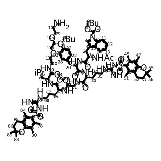 CC(=O)N[C@@H](Cc1cn(C(=O)OC(C)(C)C)c2ccccc12)C(=O)N[C@@H](Cc1ccc(OC(C)(C)C)cc1)C(=O)N[C@@H](CCCNC(=N)NS(=O)(=O)c1c(C)c(C)c2c(c1C)CCC(C)(C)O2)C(=O)NCC(=O)N[C@@H](CCCNC(=N)NS(=O)(=O)c1c(C)c(C)c2c(c1C)CCC(C)(C)O2)C(=O)N[C@@H](CC(C)C)C(=O)NCCOCCOCCN